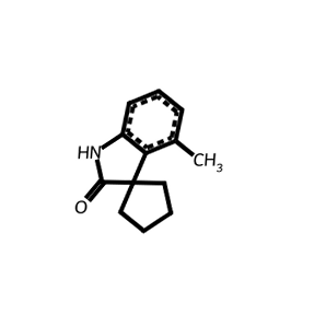 Cc1cccc2c1C1(CCCC1)C(=O)N2